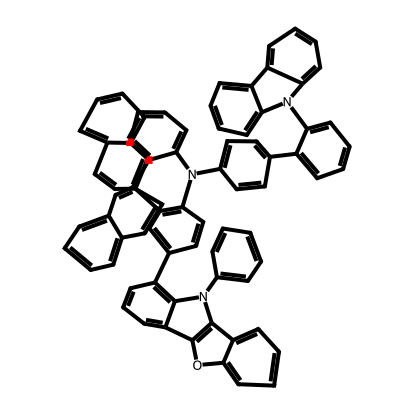 c1ccc(-n2c3c(-c4ccc(N(c5ccc(-c6ccccc6-n6c7ccccc7c7ccccc76)cc5)c5ccccc5-c5ccc6ccccc6c5)c(-c5ccc6ccccc6c5)c4)cccc3c3oc4ccccc4c32)cc1